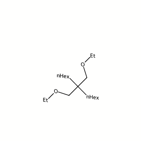 CCCCCCC(CCCCCC)(COCC)COCC